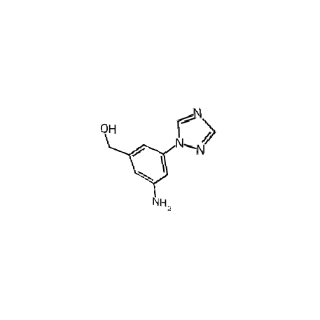 Nc1cc(CO)cc(-n2cncn2)c1